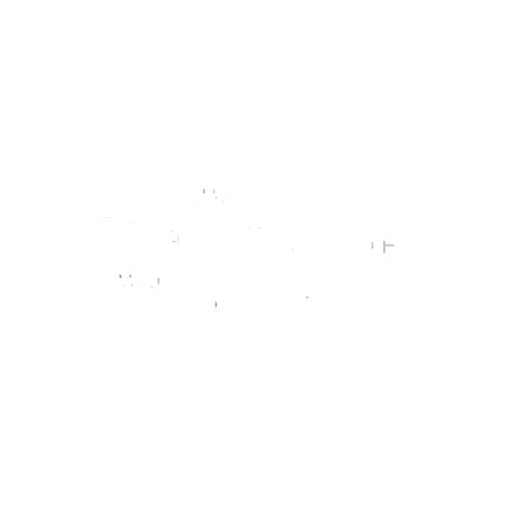 C=CC(=O)OC(C)[Si](C)(OC)OC